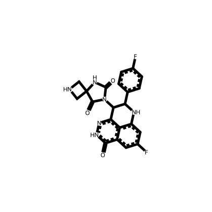 O=C1NC2(CNC2)C(=O)N1C1c2n[nH]c(=O)c3cc(F)cc(c23)NC1c1ccc(F)cc1